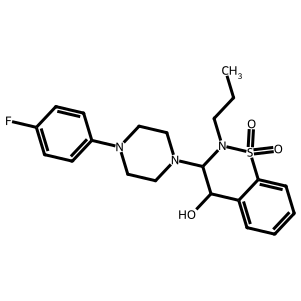 CCCN1C(N2CCN(c3ccc(F)cc3)CC2)C(O)c2ccccc2S1(=O)=O